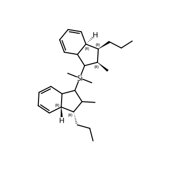 CCC[C@@H]1[C@@H]2C=CC=CC2C([Si](C)(C)C2C3C=CC=C[C@H]3[C@@H](CCC)C2C)[C@@H]1C